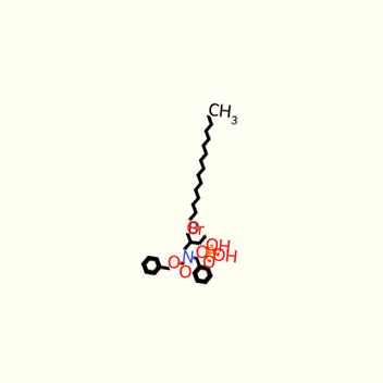 CCCCCCCCCCCCCCCCOCC(CN(Cc1ccccc1)C(=O)OCc1ccccc1)C(CBr)OP(=O)(O)O